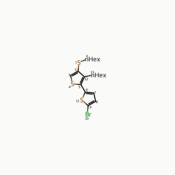 CCCCCCSc1csc(-c2ccc(Br)s2)c1CCCCCC